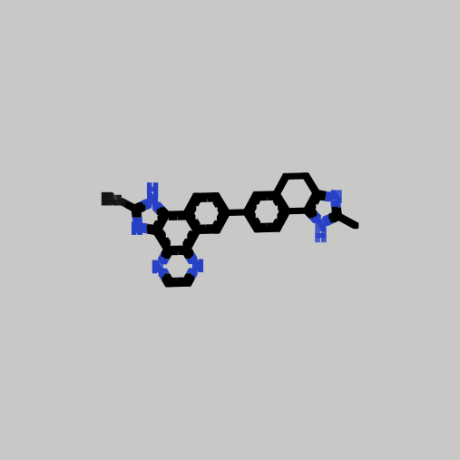 CCC(C)c1nc2c3nccnc3c3cc(-c4ccc5c(c4)CCc4nc(C)[nH]c4-5)ccc3c2[nH]1